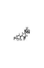 Fc1ccc(C2CC(n3cccn3)[CH]C2F)cc1